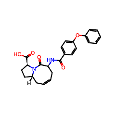 O=C(N[C@H]1C/C=C\C[C@@H]2CC[C@@H](C(=O)O)N2C1=O)c1ccc(Oc2ccccc2)cc1